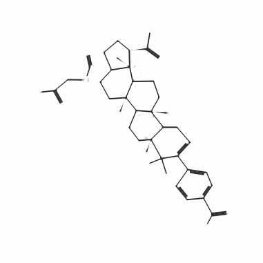 C=C(C)[C@@H]1CC[C@]2(C(=O)NCC(=O)O)CC[C@]3(C)[C@H](CC[C@@H]4[C@@]5(C)CC=C(c6ccc(C(=O)O)cc6)C(C)(C)[C@@H]5CC[C@]43C)[C@@H]12